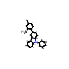 Bc1cc(C)ccc1-c1ccc2c(c1)c1ccccc1n2-c1ccccc1